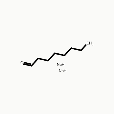 CCCCCCCC=O.[NaH].[NaH]